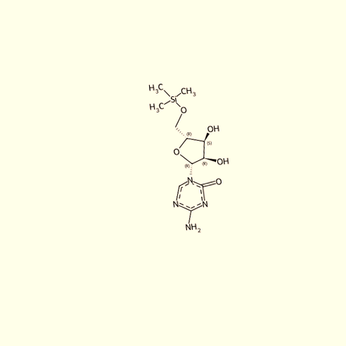 C[Si](C)(C)OC[C@H]1O[C@@H](n2cnc(N)nc2=O)[C@H](O)[C@@H]1O